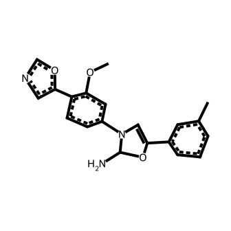 COc1cc(N2C=C(c3cccc(C)c3)OC2N)ccc1-c1cnco1